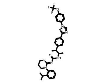 CC(C)c1ccccc1N1CCCS/C1=N\C(=O)NC(C)C(C)c1ccc(-c2ncn(-c3ccc(OC(F)(F)F)cc3)n2)cc1